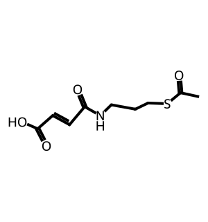 CC(=O)SCCCNC(=O)/C=C/C(=O)O